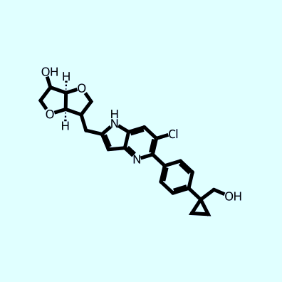 OCC1(c2ccc(-c3nc4cc(CC5CO[C@@H]6C(O)CO[C@H]56)[nH]c4cc3Cl)cc2)CC1